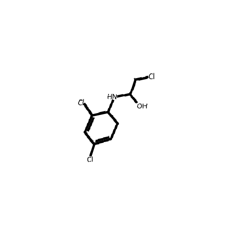 OC(CCl)NC1CC=C(Cl)C=C1Cl